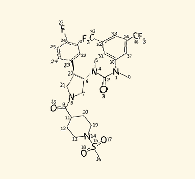 CN(C(=O)N(C)[C@@H]1CN(C(=O)C2CCN(S(C)(=O)=O)CC2)C[C@H]1c1ccc(F)cc1)c1cc(C(F)(F)F)cc(C(F)(F)F)c1